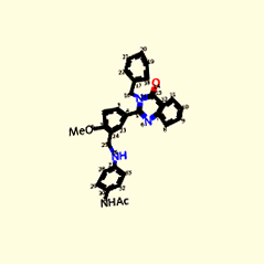 COc1ccc(-c2nc3ccccc3c(=O)n2Cc2ccccc2)cc1CNc1ccc(NC(C)=O)cc1